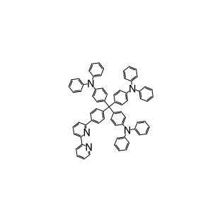 c1ccc(N(c2ccccc2)c2ccc(C(c3ccc(-c4cccc(-c5ccccn5)n4)cc3)(c3ccc(N(c4ccccc4)c4ccccc4)cc3)c3ccc(N(c4ccccc4)c4ccccc4)cc3)cc2)cc1